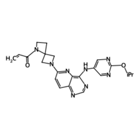 C=CC(=O)N1CCC12CN(c1ccc3ncnc(Nc4cnc(OC(C)C)nc4)c3n1)C2